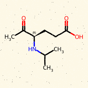 CC(=O)[C@@H](CCC(=O)O)NC(C)C